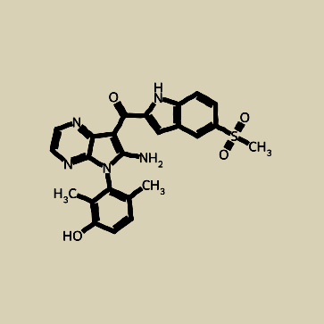 Cc1ccc(O)c(C)c1-n1c(N)c(C(=O)c2cc3cc(S(C)(=O)=O)ccc3[nH]2)c2nccnc21